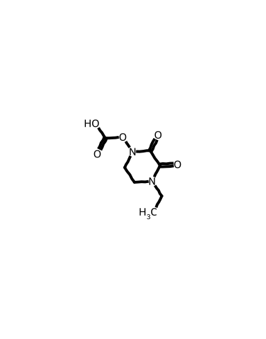 CCN1CCN(OC(=O)O)C(=O)C1=O